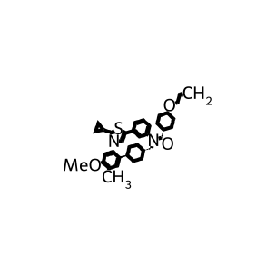 C=CCO[C@H]1CC[C@H](C(=O)N(C[C@H]2CC[C@H](c3ccc(OC)c(C)c3)CC2)c2cccc(-c3cnc(C4CC4)s3)c2)CC1